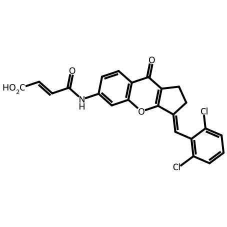 O=C(O)C=CC(=O)Nc1ccc2c(=O)c3c(oc2c1)C(=Cc1c(Cl)cccc1Cl)CC3